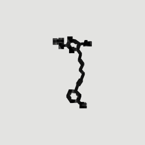 CCNc1ncc(C(C)=O)c(C/C=C/CCC#Cc2cccc(CC)c2)n1